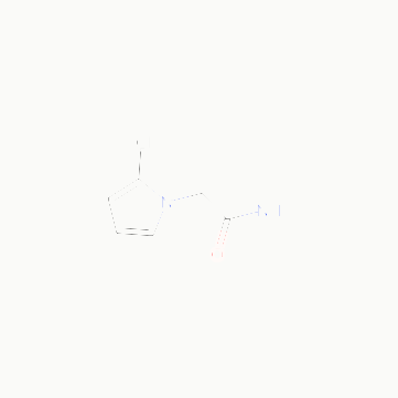 Cc1cccn1CC(N)=O